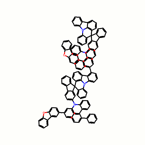 c1ccc(-c2ccccc2-c2ccccc2N(c2cccc(-c3ccc4oc5ccccc5c4c3)c2)c2ccc3c(c2)C2(c4ccccc4-3)c3ccccc3-n3c4cccc(-c5ccc(N(c6ccc7c(c6)C6(c8ccccc8-7)c7ccccc7-n7c8ccccc8c8cccc6c87)c6ccccc6-c6ccccc6-c6ccccc6)c(-c6ccc7oc8ccccc8c7c6)c5)c4c4cccc2c43)cc1